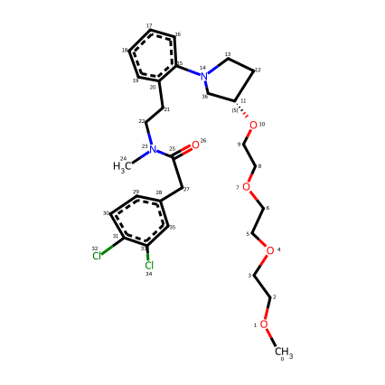 COCCOCCOCCO[C@H]1CCN(c2ccccc2CCN(C)C(=O)Cc2ccc(Cl)c(Cl)c2)C1